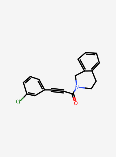 O=C(C#Cc1cccc(Cl)c1)N1CCc2ccccc2C1